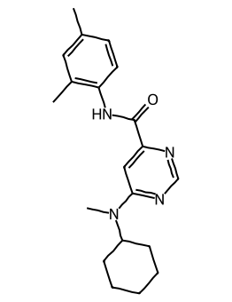 Cc1ccc(NC(=O)c2cc(N(C)C3CCCCC3)ncn2)c(C)c1